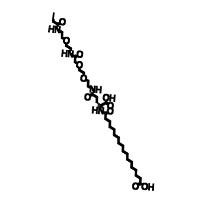 O=C(O)CCCCCCCCCCCCCCCCC(=O)N[C@H](CCC(=O)NCCOCCOCC(=O)NCCOCCNC(=O)CI)C(=O)O